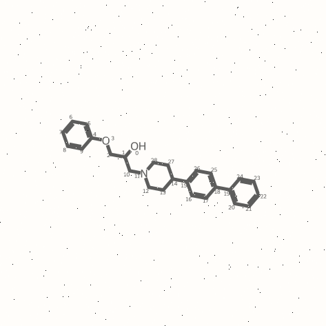 OC(COc1ccccc1)CN1CCC(c2ccc(-c3ccccc3)cc2)CC1